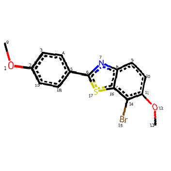 COc1ccc(-c2nc3ccc(OC)c(Br)c3s2)cc1